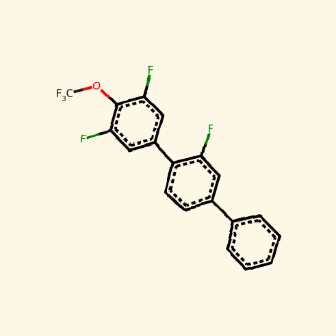 Fc1cc(-c2ccccc2)ccc1-c1cc(F)c(OC(F)(F)F)c(F)c1